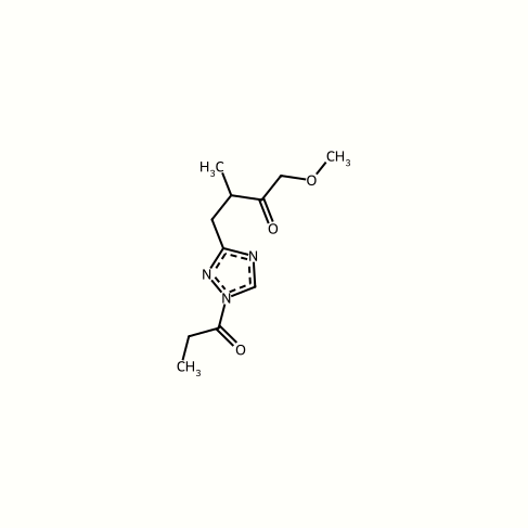 CCC(=O)n1cnc(CC(C)C(=O)COC)n1